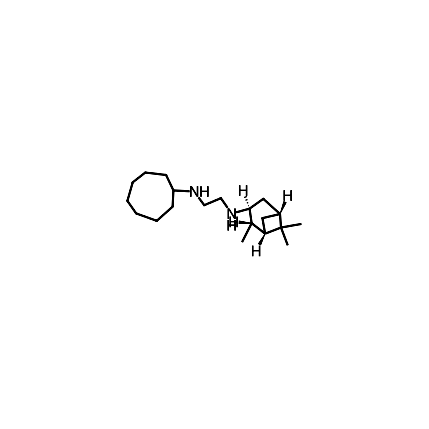 C[C@@H]1[C@@H](NCCNC2CCCCCCC2)C[C@H]2C[C@@H]1C2(C)C